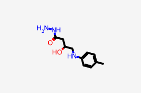 Cc1ccc(NCC(O)CC(=O)NN)cc1